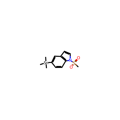 CS(=O)(=O)n1ccc2c[c]([Sn]([CH3])([CH3])[CH3])ccc21